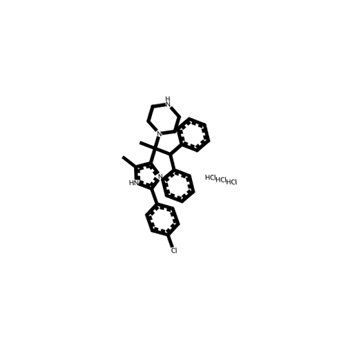 Cc1[nH]c(-c2ccc(Cl)cc2)nc1C(C)(C(c1ccccc1)c1ccccc1)N1CCNCC1.Cl.Cl.Cl